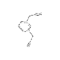 C#CCc1cccc(CC#C)c1